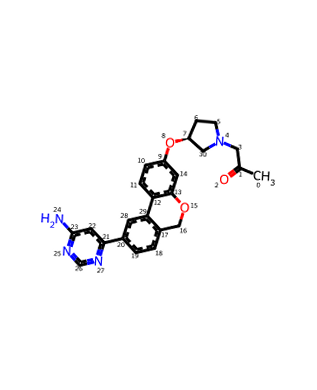 CC(=O)CN1CC[C@H](Oc2ccc3c(c2)OCc2ccc(-c4cc(N)ncn4)cc2-3)C1